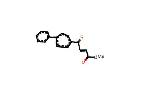 COC(=O)C=CC(=S)c1ccc(-c2ccccc2)cc1